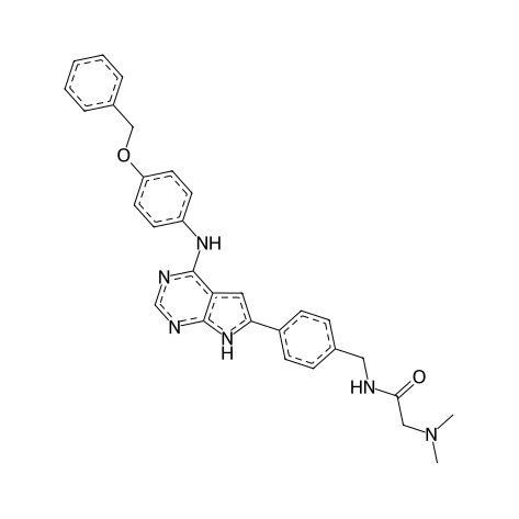 CN(C)CC(=O)NCc1ccc(-c2cc3c(Nc4ccc(OCc5ccccc5)cc4)ncnc3[nH]2)cc1